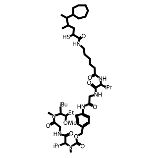 CCC(C)C(C(CC)OC)N(C)C(=O)CNC(=O)C(C(C)C)N(C)C(=O)OCc1ccc(NC(=O)CNC(=O)C(NC(=O)CCCCCNC(=O)C(S)CC(C)C(C)C2CCCCCC2)C(C)C)cc1